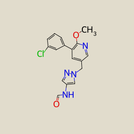 COc1ncc(Cn2cc(NC=O)cn2)cc1-c1cccc(Cl)c1